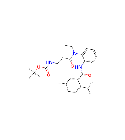 CCN(C(=O)CCNC(=O)OC(C)(C)C)c1ccccc1NC(=O)C1CC(C)CCC1C(C)C